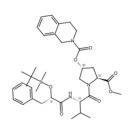 COC(=O)[C@@H]1C[C@@H](OC(=O)N2CCc3ccccc3C2)CN1C(=O)[C@@H](NC(=O)[C@H](Cc1ccccc1)O[Si](C)(C)C(C)(C)C)C(C)C